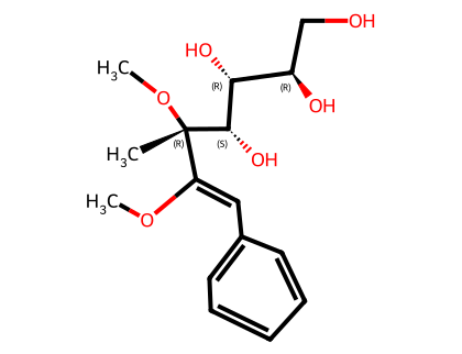 COC(=Cc1ccccc1)[C@](C)(OC)[C@@H](O)[C@H](O)[C@H](O)CO